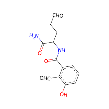 NC(=O)C(CCC=O)NC(=O)c1cccc(O)c1C=O